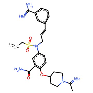 CC(=N)N1CCC(Oc2ccc(N(C/C=C/c3cccc(C(=N)N)c3)S(=O)(=O)CC(=O)O)cc2C(N)=O)CC1